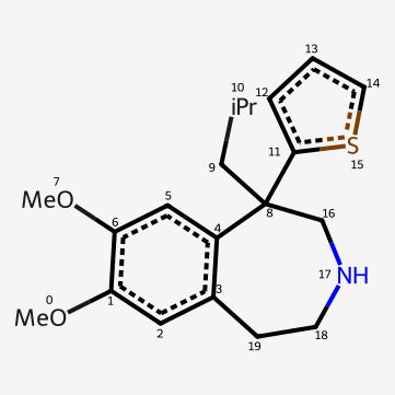 COc1cc2c(cc1OC)C(CC(C)C)(c1cccs1)CNCC2